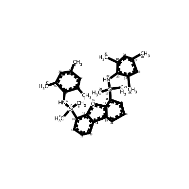 Cc1cc(C)c(N[Si](C)(C)c2cccc3c2oc2c([Si](C)(C)Nc4c(C)cc(C)cc4C)cccc23)c(C)c1